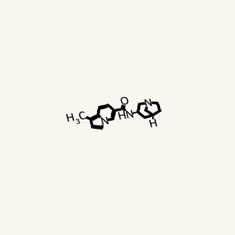 Cc1ccn2cc(C(=O)N[C@@H]3C[C@H]4CCN(C4)C3)ccc12